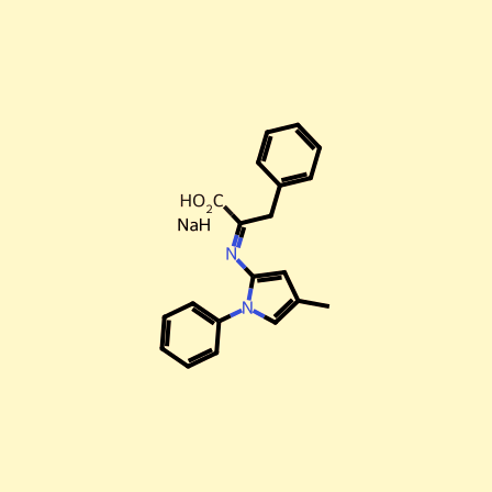 Cc1cc(/N=C(\Cc2ccccc2)C(=O)O)n(-c2ccccc2)c1.[NaH]